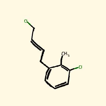 Cc1c(Cl)cccc1CC=CCCl